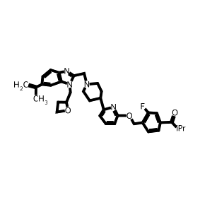 C=C(C)c1ccc2nc(CN3CCC(c4cccc(OCc5ccc(C(=O)C(C)C)cc5F)n4)CC3)n(CC3CCO3)c2c1